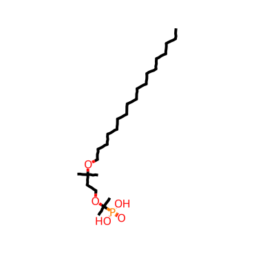 CCCCCCCCCCCCCCCCCCOC(C)(C)CCOC(C)(C)P(=O)(O)O